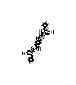 O=C(CN1CCNCC1Cc1ccccc1)Nc1nc2cc3nc(NC(=O)CN4CCNCC4Cc4ccccc4)sc3cc2s1